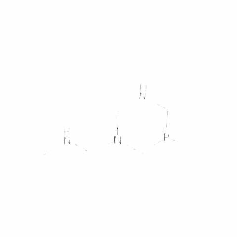 CNCN1CNCP(C)C1